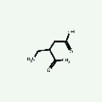 CCC(CC(=O)O)C(C)=O